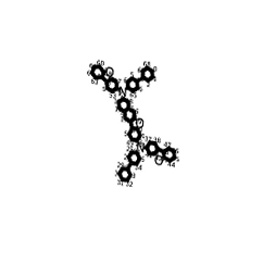 c1ccc(-c2ccc(N(c3ccc4cc5c(cc4c3)oc3cc(N(c4ccc(-c6ccccc6)cc4)c4ccc6c(c4)oc4ccccc46)ccc35)c3ccc4c(c3)oc3ccccc34)cc2)cc1